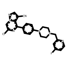 N#Cc1cnn2cc(Cl)nc(-c3ccc(N4CCN(Cc5cc(F)ccn5)CC4)cc3)c12